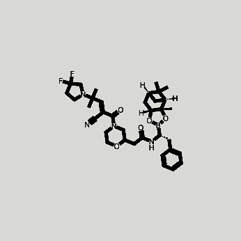 CC1(C)[C@@H]2C[C@H]3OB([C@H](Cc4ccccc4)NC(=O)CC4CN(C(=O)C(C#N)=CC(C)(C)N5CCC(F)(F)C5)CCO4)O[C@@]3(C)[C@H]1C2